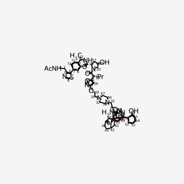 CC(=O)NCc1ncsc1-c1ccc([C@H](C)NC(=O)[C@@H]2C[C@@H](O)CN2C(=O)[C@@H](c2cc(OCCN3CCN(CCOc4cc(N5C6CCC5CN(c5cc(-c7ccccc7O)nnc5N)C6)ccn4)CC3)no2)C(C)C)cc1